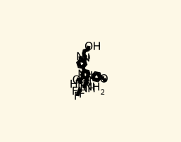 COc1ccc(N2C=C(c3ccc4nc(CCO)n(C)c4c3)N=C3C(=O)NC(N)(NCC(F)(F)F)N=C32)cc1